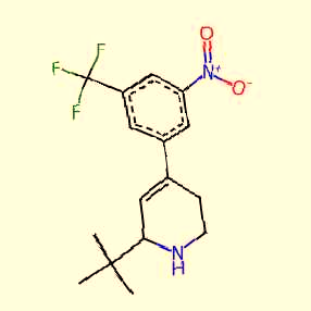 CC(C)(C)C1C=C(c2cc([N+](=O)[O-])cc(C(F)(F)F)c2)CCN1